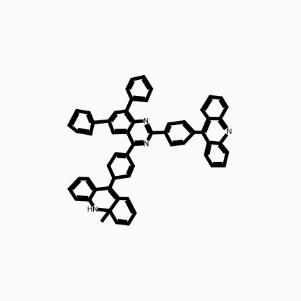 CC12C=CC=CC1=C(C1C=CC(c3nc(-c4ccc(-c5c6ccccc6nc6ccccc56)cc4)nc4c(-c5ccccc5)cc(-c5ccccc5)cc34)=CC1)c1ccccc1N2